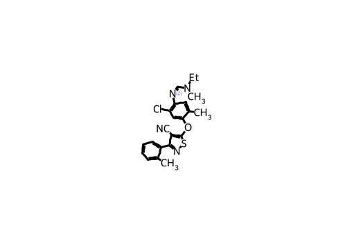 CCN(C)/C=N\c1cc(C)c(Oc2snc(-c3ccccc3C)c2C#N)cc1Cl